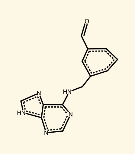 O=Cc1cccc(CNc2ncnc3[nH]cnc23)c1